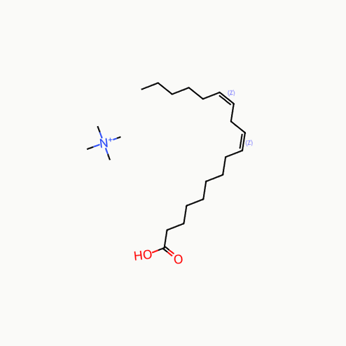 CCCCC/C=C\C/C=C\CCCCCCCC(=O)O.C[N+](C)(C)C